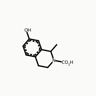 CC1c2cc(O)ccc2CCN1C(=O)O